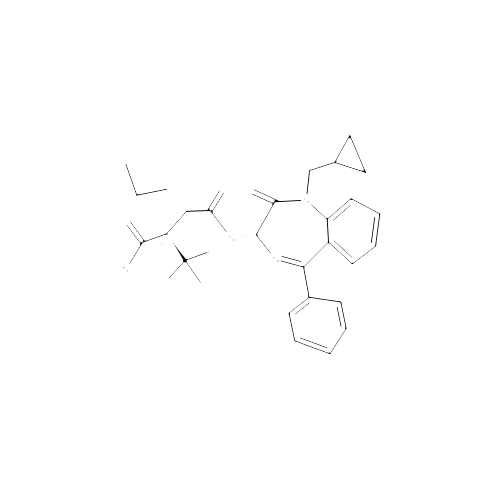 CCC(F)(F)[C@@H](C(N)=O)[C@H](CCC(F)(F)F)C(=O)N[C@H]1N=C(c2ccccc2)c2ccccc2N(CC2CC2)C1=O